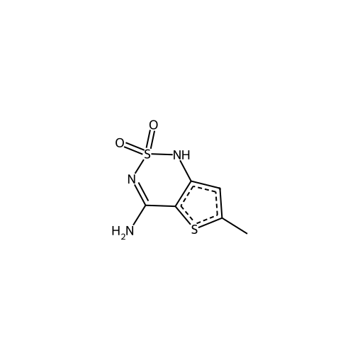 Cc1cc2c(s1)C(N)=NS(=O)(=O)N2